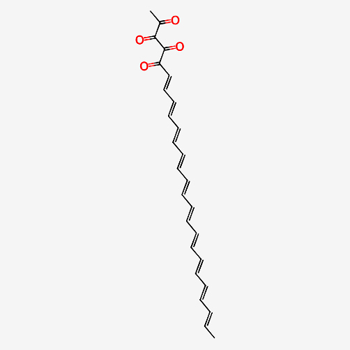 CC=CC=CC=CC=CC=CC=CC=CC=CC=CC=CC(=O)C(=O)C(=O)C(C)=O